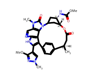 COC(=O)N[C@H]1CC2C[C@H]1OC(=O)C[C@@H](C)c1ccc(cc1)-c1c(-c3cn(C)nc3OC)[nH]c3ncc4c(c13)n2c(=O)n4C